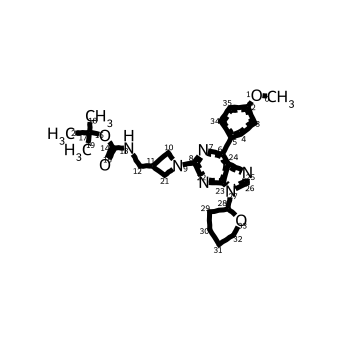 COc1ccc(-c2nc(N3CC(CNC(=O)OC(C)(C)C)C3)nc3c2ncn3C2CCCCO2)cc1